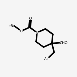 CC(=O)CC1(C=O)CCN(C(=O)OC(C)(C)C)CC1